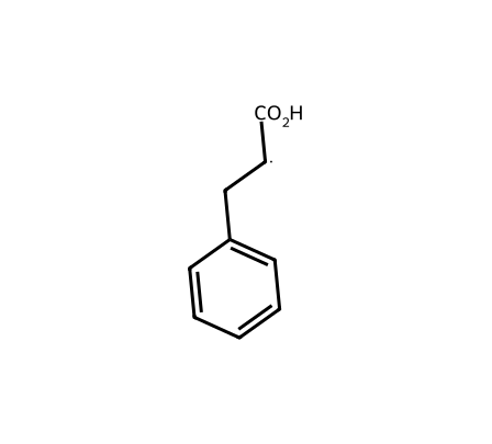 O=C(O)[CH]Cc1ccccc1